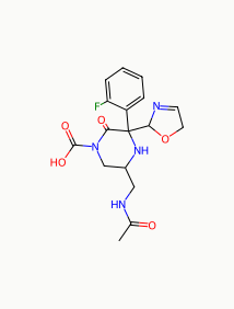 CC(=O)NCC1CN(C(=O)O)C(=O)C(c2ccccc2F)(C2N=CCO2)N1